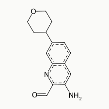 Nc1cc2ccc(C3CCOCC3)cc2nc1C=O